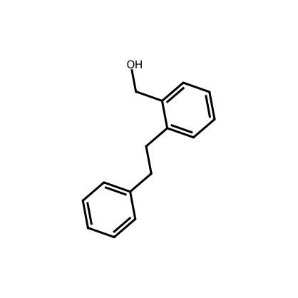 OCc1ccccc1CCc1ccccc1